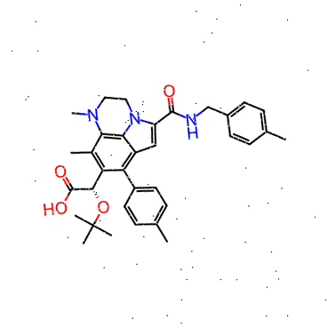 Cc1ccc(CNC(=O)c2cc3c(-c4ccc(C)cc4)c([C@H](OC(C)(C)C)C(=O)O)c(C)c4c3n2CCN4C)cc1